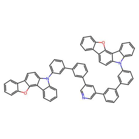 c1cc(-c2cncc(-c3cccc(-c4cccc(-n5c6ccccc6c6c7oc8ccccc8c7ccc65)c4)c3)c2)cc(-c2cccc(-n3c4ccccc4c4c5oc6ccccc6c5ccc43)c2)c1